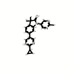 Cc1ncc(N2C(=O)C(C)(C)c3ccc(-c4cnc(C5CC5)nc4)cc32)cn1